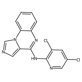 Clc1cnc(Nc2nc3ccccc3n3cncc23)c(Cl)c1